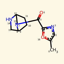 Cc1cnc(C(=O)N2CC3CCC(C2)NC3)o1